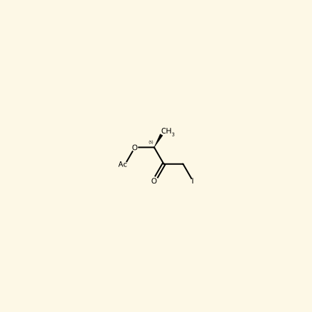 CC(=O)O[C@@H](C)C(=O)CI